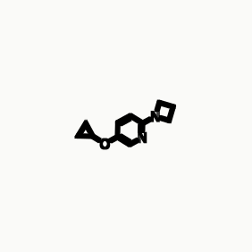 c1cc(N2CCC2)ncc1OC1CC1